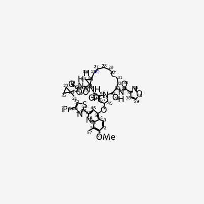 COc1ccc2c(OC3C[C@H]4C(=O)N[C@]5(C(=O)NS(=O)(=O)C6(C)CC6)C[C@H]5/C=C\CCCCC[C@H](NC(=O)c5ccon5)C(=O)N4C3)cc(-c3nc(C(C)C)cs3)nc2c1C